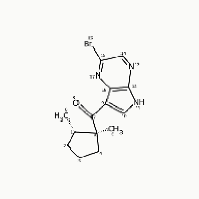 C[C@H]1CCC[C@]1(C)C(=O)c1c[nH]c2ncc(Br)nc12